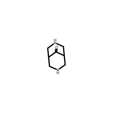 O=C1C2CNCC1CNC2